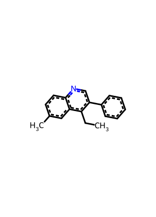 CCc1c(-c2ccccc2)cnc2ccc(C)cc12